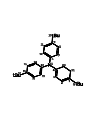 CC(C)(C)C1=CC=C(N(c2ccc(C(C)(C)C)cc2)c2ccc(C(C)(C)C)cc2)CC1